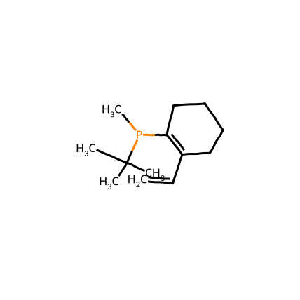 C=CC1=C(P(C)C(C)(C)C)CCCC1